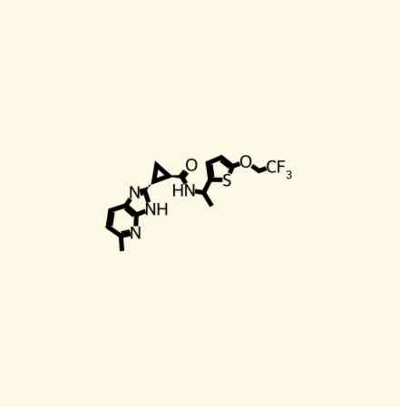 Cc1ccc2nc([C@@H]3C[C@H]3C(=O)NC(C)c3ccc(OCC(F)(F)F)s3)[nH]c2n1